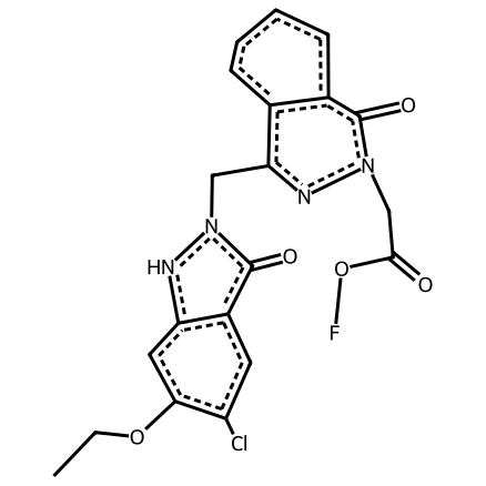 CCOc1cc2[nH]n(Cc3nn(CC(=O)OF)c(=O)c4ccccc34)c(=O)c2cc1Cl